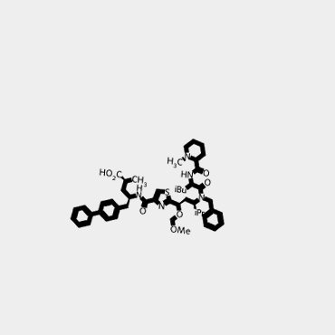 CCC(C)C(NC(=O)C1CCCCN1C)C(=O)N(Cc1ccccc1)[C@H](C[C@@H](OCOC)c1nc(C(=O)N[C@@H](Cc2ccc(-c3ccccc3)cc2)C[C@H](C)C(=O)O)cs1)C(C)C